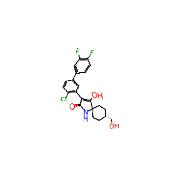 O=C1N[C@]2(CC[C@@H](CO)CC2)C(O)=C1c1cc(-c2ccc(F)c(F)c2)ccc1Cl